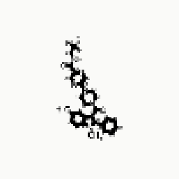 Cc1ccc2c(c1)c(C(=O)N1CCN(c3cnc(C(=O)NCC(F)(F)F)cn3)CC1)c(-c1ccccc1)n2C